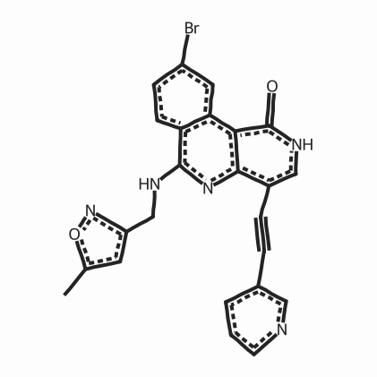 Cc1cc(CNc2nc3c(C#Cc4cccnc4)c[nH]c(=O)c3c3cc(Br)ccc23)no1